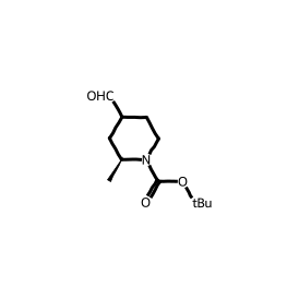 C[C@H]1CC(C=O)CCN1C(=O)OC(C)(C)C